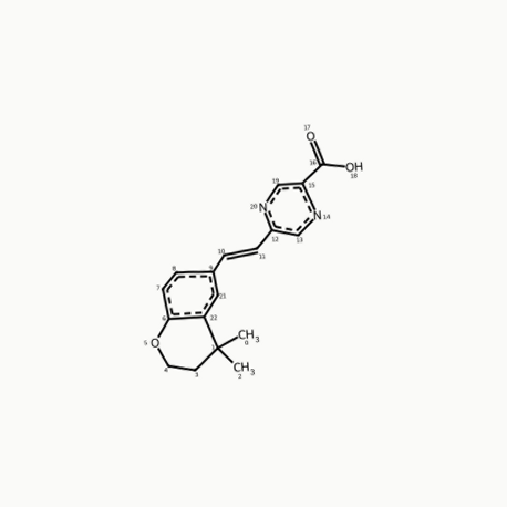 CC1(C)CCOc2ccc(C=Cc3cnc(C(=O)O)cn3)cc21